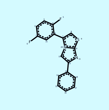 Fc1ccc(F)c(-c2csc3nc(-c4ccccc4)cn23)c1